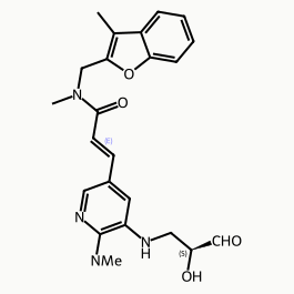 CNc1ncc(/C=C/C(=O)N(C)Cc2oc3ccccc3c2C)cc1NC[C@H](O)C=O